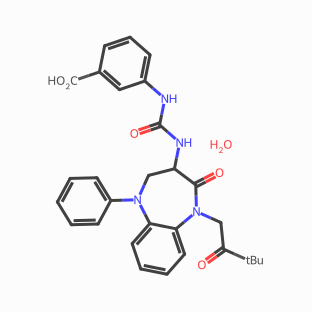 CC(C)(C)C(=O)CN1C(=O)C(NC(=O)Nc2cccc(C(=O)O)c2)CN(c2ccccc2)c2ccccc21.O